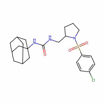 O=C(NCC1CCCN1S(=O)(=O)c1ccc(Cl)cc1)NC12CC3CC(CC(C3)C1)C2